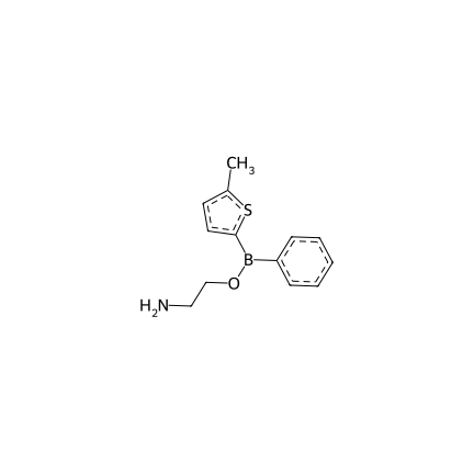 Cc1ccc(B(OCCN)c2ccccc2)s1